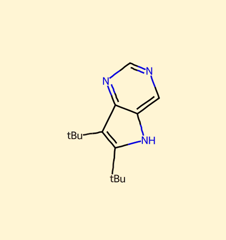 CC(C)(C)c1[nH]c2cncnc2c1C(C)(C)C